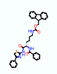 O=C(NCCCC[C@H](NC(=O)c1ccccc1)C(=O)Nc1nc(-c2ccccc2)cs1)OCC1c2ccccc2-c2ccccc21